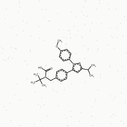 COc1ccc(-n2nc(C(C)C)cc2-c2ccc(CN(C(=O)O)C(C)(C)C)cc2)cc1